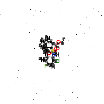 [2H]c1c([2H])c(N([2H])S(=O)(=O)[C@H]2C(C(=O)OCC)=CC([2H])([2H])C([2H])([2H])C2([2H])[2H])c(Cl)c([2H])c1F